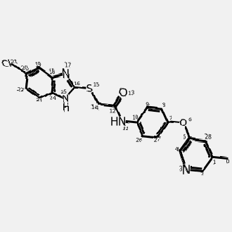 Cc1cncc(Oc2ccc(NC(=O)CSc3nc4cc(Cl)ccc4[nH]3)cc2)c1